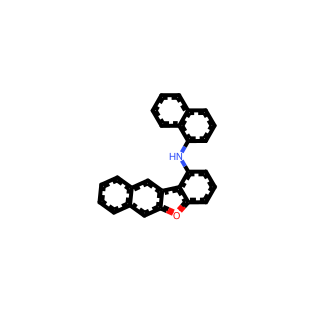 c1ccc2cc3c(cc2c1)oc1cccc(Nc2cccc4ccccc24)c13